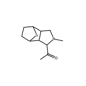 CC(=O)C1C2C3CCC(S3)C2CN1C